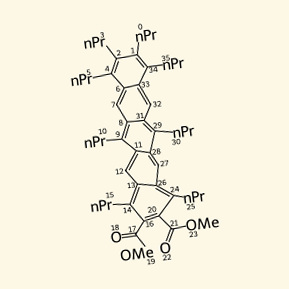 CCCc1c(CCC)c(CCC)c2cc3c(CCC)c4cc5c(CCC)c(C(=O)OC)c(C(=O)OC)c(CCC)c5cc4c(CCC)c3cc2c1CCC